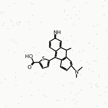 CC1C2=CC(=N)C=CC2=C(c2ccc(C(=O)O)s2)c2ccc(N(C)C)cc21